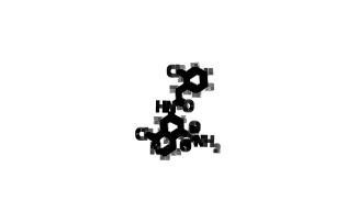 NS(=O)(=O)c1cc(NC(=O)Cc2ccccc2Cl)cc2c(Cl)nccc12